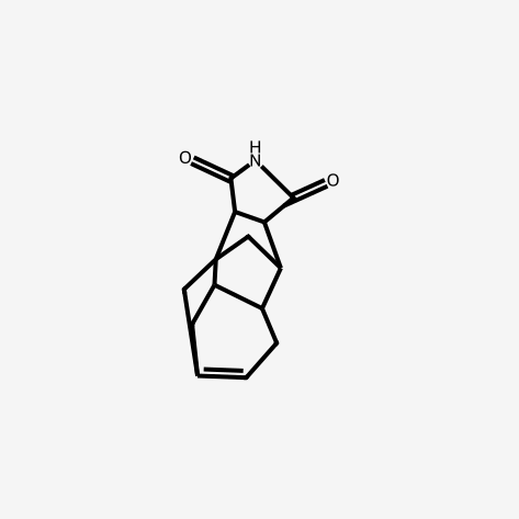 O=C1NC(=O)C2C1C1CC23CC2=CCC1C3C2